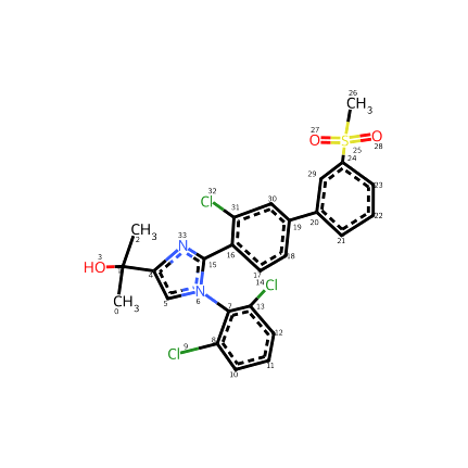 CC(C)(O)c1cn(-c2c(Cl)cccc2Cl)c(-c2ccc(-c3cccc(S(C)(=O)=O)c3)cc2Cl)n1